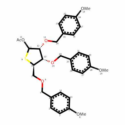 COc1ccc(COC[C@H]2SC(OC(C)=O)[C@H](OCc3ccc(OC)cc3)[C@@H]2OCc2ccc(OC)cc2)cc1